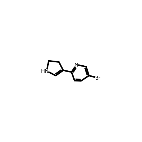 Brc1ccc(C2=CNCC2)nc1